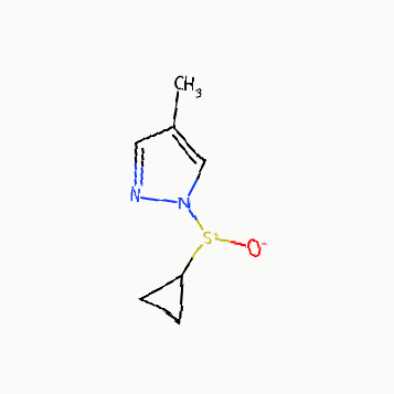 Cc1cnn([S+]([O-])C2CC2)c1